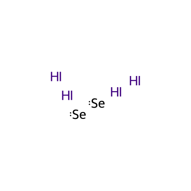 I.I.I.I.[Se].[Se]